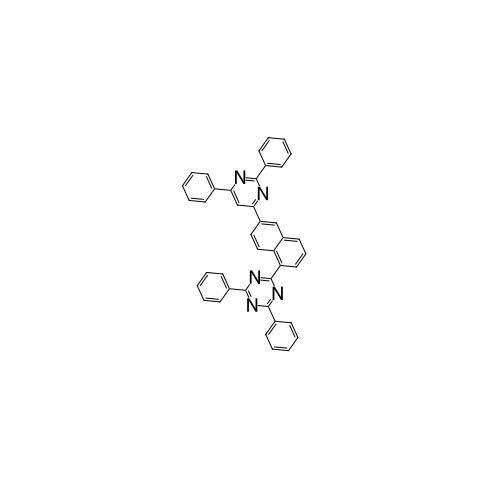 c1ccc(-c2cc(-c3ccc4c(-c5nc(-c6ccccc6)nc(-c6ccccc6)n5)cccc4c3)nc(-c3ccccc3)n2)cc1